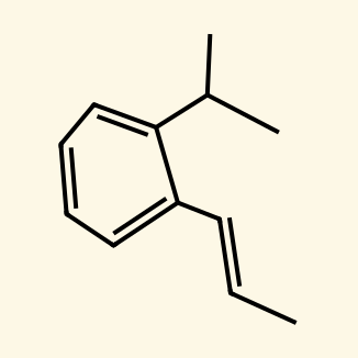 C/C=C/c1ccccc1C(C)C